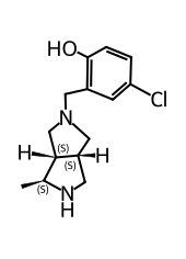 C[C@@H]1NC[C@H]2CN(Cc3cc(Cl)ccc3O)C[C@H]21